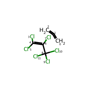 C=C=C.ClC(Cl)=C(Cl)C(Cl)(Cl)Cl